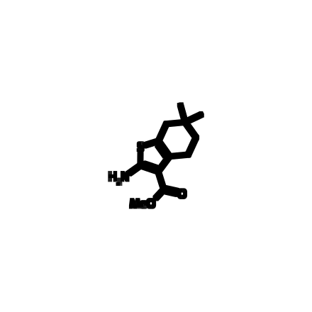 COC(=O)c1c(N)sc2c1CCC(C)(C)C2